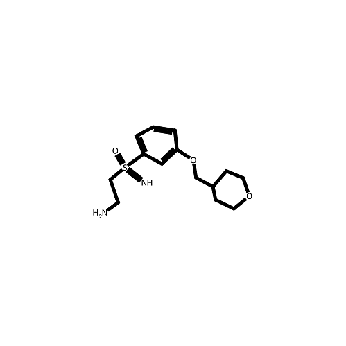 N=S(=O)(CCN)c1cccc(OCC2CCOCC2)c1